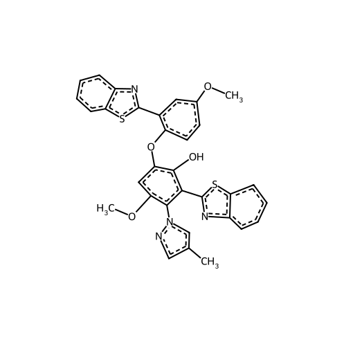 COc1ccc(Oc2cc(OC)c(-n3cc(C)cn3)c(-c3nc4ccccc4s3)c2O)c(-c2nc3ccccc3s2)c1